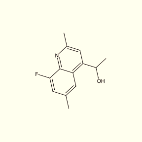 Cc1cc(F)c2nc(C)cc(C(C)O)c2c1